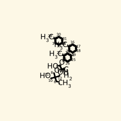 C=CC(=O)O.CCC(CO)(CO)CO.Cc1ccccc1.Cc1ccccc1.Cc1ccccc1